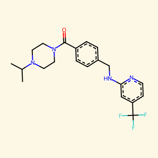 CC(C)N1CCN(C(=O)c2ccc(CNc3cc(C(F)(F)F)ccn3)cc2)CC1